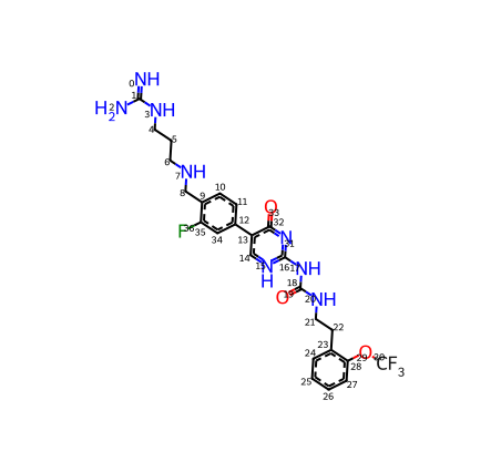 N=C(N)NCCCNCc1ccc(-c2c[nH]c(NC(=O)NCCc3ccccc3OC(F)(F)F)nc2=O)cc1F